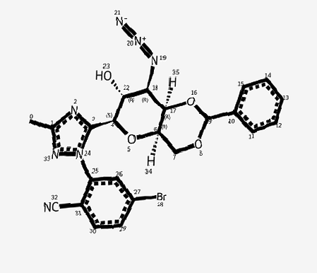 Cc1nc([C@@H]2O[C@@H]3COC(c4ccccc4)O[C@@H]3[C@H](N=[N+]=[N-])[C@H]2O)n(-c2cc(Br)ccc2C#N)n1